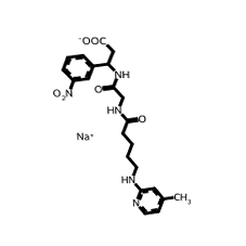 Cc1ccnc(NCCCCC(=O)NCC(=O)NC(CC(=O)[O-])c2cccc([N+](=O)[O-])c2)c1.[Na+]